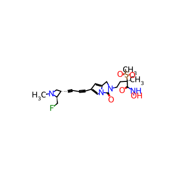 CN1C[C@H](C#CC#Cc2cc3n(c2)C(=O)N(CC[C@](C)(C(=O)NO)S(C)(=O)=O)C3)[C@H]1CF